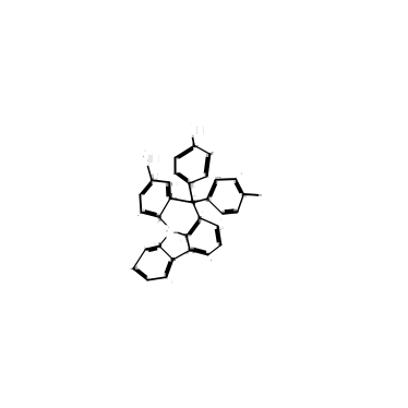 Cc1ccc(C2(c3ccc(C)cc3)c3cc(N)ccc3-n3c4ccccc4c4cccc2c43)cc1